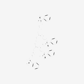 O=S(=O)(SCOCC(COCC(COCSS(=O)(=O)c1ccccc1)OCSS(=O)(=O)c1ccccc1)OCSS(=O)(=O)c1ccccc1)c1ccccc1